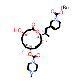 C/C(=C\C1=CCCN(C(=O)OC(C)(C)C)C1)[C@@H]1OC(=O)C[C@H](O)CC[C@@H](C)[C@@H](OC(=O)N2CCN(C)CC2)C=C[C@H]1C